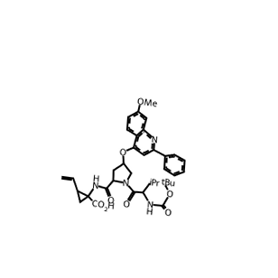 C=CC1CC1(NC(=O)C1CC(Oc2cc(-c3ccccc3)nc3cc(OC)ccc23)CN1C(=O)C(NC(=O)OC(C)(C)C)C(C)C)C(=O)O